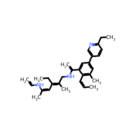 C=CN/C(C)=C\C(CC)=C(/C)CNC(=C)c1cc(-c2ccc(CC)nc2)cc(C)c1/C=C\C